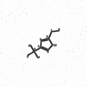 CCC1=CC(C(C)(C)C)=CC1